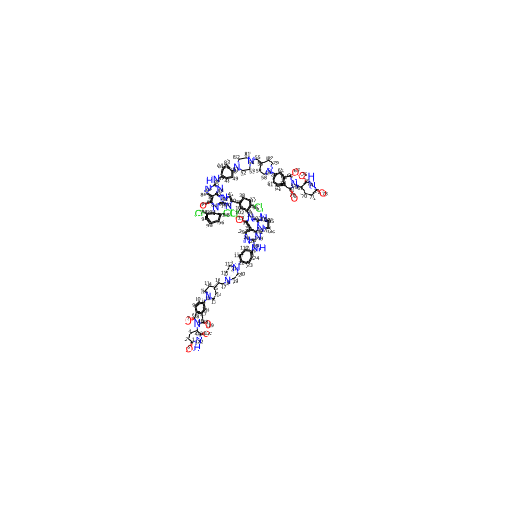 O=C1CCC(N2C(=O)c3ccc(N4CCC(CCN5CCN(c6ccc(Nc7ncc8c(=O)n(-c9c(Cl)ccc(-c%10cn%11c%12nc(Nc%13ccc(N%14CCN(CC%15CCN(c%16ccc%17c(c%16)C(=O)N(C%16CCC(=O)NC%16=O)C%17=O)CC%15)CC%14)cc%13)ncc%12c(=O)n(-c%12c(Cl)cccc%12Cl)c%11n%10)c9Cl)c9nccn9c8n7)cc6)CC5)CC4)cc3C2=O)C(=O)N1